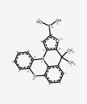 CC1(C)c2cccc3c2N(c2ccccc2O3)c2cc(B(O)O)sc21